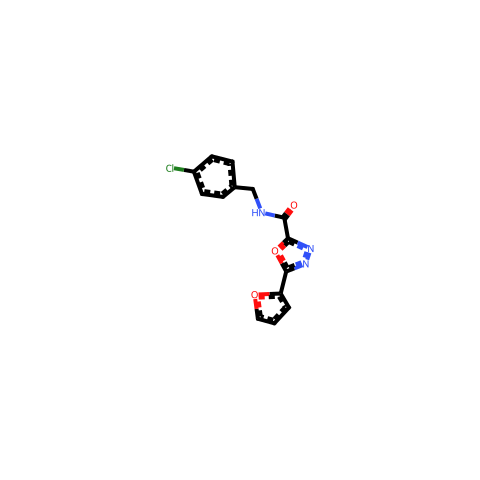 O=C(NCc1ccc(Cl)cc1)c1nnc(-c2ccco2)o1